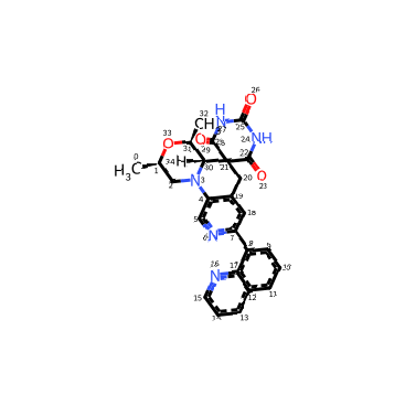 C[C@@H]1CN2c3cnc(-c4cccc5cccnc45)cc3CC3(C(=O)NC(=O)NC3=O)[C@H]2[C@H](C)O1